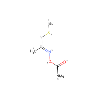 CCCCSCC(C)=NOC(=O)NC